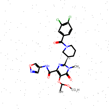 CCCC(OC(=O)O)Oc1c(C(=O)Nc2cnoc2)nc([C@@H]2CCCN(C(=O)c3ccc(Cl)c(Cl)c3)C2)n(C)c1=O